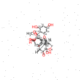 COc1cc([C@@H]2[C@H]3CO[C@@]4(O)C(=O)[C@@H]2C=C([C@H]2Oc5cc(O)cc(O)c5C(=O)C2O)[C@@H]34)ccc1O